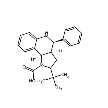 CC(C)(C)C1C[C@@H]2[C@H](c3ccccc3)Nc3ccccc3[C@@H]2N1C(=O)O